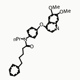 CCCN(C(=O)CCCCc1ccccc1)c1ccc(Oc2ccnc3cc(OC)c(OC)cc23)cc1